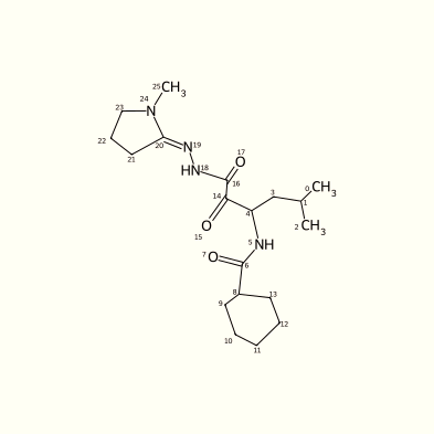 CC(C)CC(NC(=O)C1CCCCC1)C(=O)C(=O)N/N=C1\CCCN1C